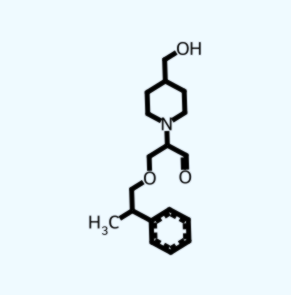 CC(COCC(C=O)N1CCC(CO)CC1)c1ccccc1